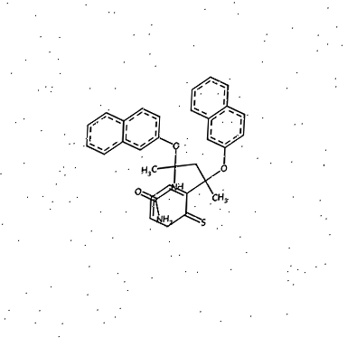 CC(CC(C)(Oc1ccc2ccccc2c1)C1=CC=CCC1=S)(NC(N)=O)Oc1ccc2ccccc2c1